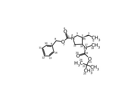 CC[C@@H]1CN(C(=O)OCc2ccccc2)CC1N(C)C(=O)OC(C)(C)C